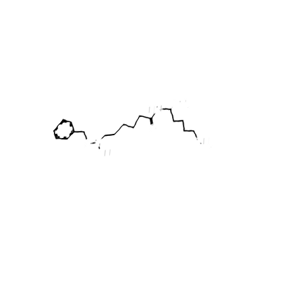 NCCCC[C@H](NC(=O)CCCCCN(C=O)OCc1ccccc1)C(=O)O